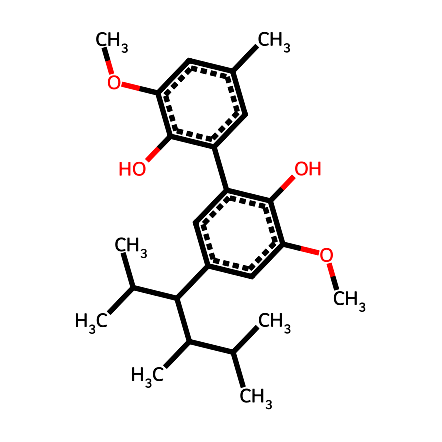 COc1cc(C)cc(-c2cc(C(C(C)C)C(C)C(C)C)cc(OC)c2O)c1O